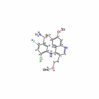 CCOc1cc2ncc(CCOC=O)c(Nc3cc(CN)c(F)cc3Cl)c2cc1Br